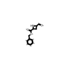 O=CC1CC(C(=O)OCc2ccccc2)N1